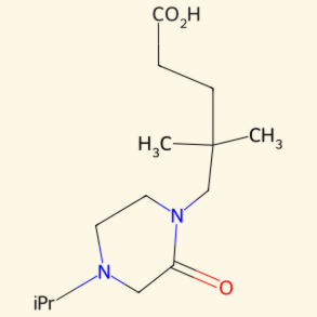 CC(C)N1CCN(CC(C)(C)CCC(=O)O)C(=O)C1